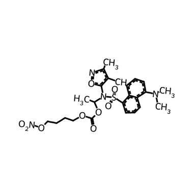 Cc1noc(N(C(C)OC(=O)OCCCCO[N+](=O)[O-])S(=O)(=O)c2cccc3c(N(C)C)cccc23)c1C